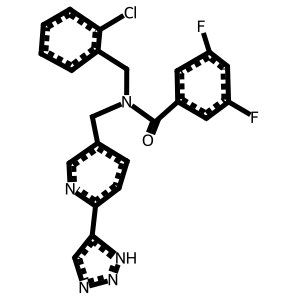 O=C(c1cc(F)cc(F)c1)N(Cc1ccc(-c2cnn[nH]2)nc1)Cc1ccccc1Cl